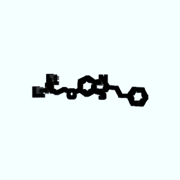 CCN(CC)CCOc1ccc2nc(CCc3ccccc3)sc2c1